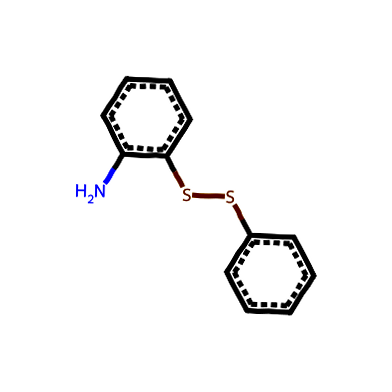 Nc1ccccc1SSc1ccccc1